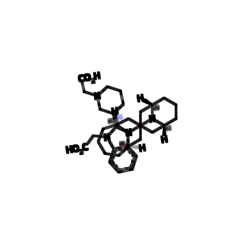 O=C(O)CN1CCC/C(=C2/N(CC(=O)O)c3ccccc3N2C2C[C@H]3CCC[C@@H](C2)N3C2C[C@H]3CCCC[C@@H](C2)C3)C1